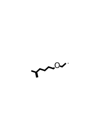 [CH2]COCCCCC(=C)C